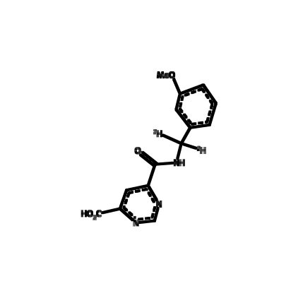 [2H]C([2H])(NC(=O)c1cc(C(=O)O)ncn1)c1cccc(OC)c1